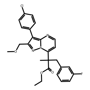 CCOC(=O)C(C)(Cc1cccc(F)c1)c1ccnc2c(-c3ccc(Cl)cc3)c(COC)nn12